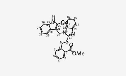 COC(=O)c1ccccc1CSc1nc2ccccc2n1Cc1c(C)[nH]c2ccccc12